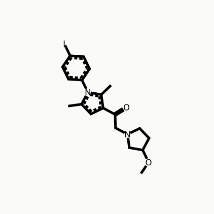 COC1CCN(CC(=O)c2cc(C)n(-c3ccc(I)cc3)c2C)C1